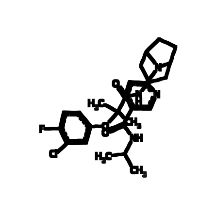 CC(C)NC(=O)c1ccc(N2C3CCC2CC(NC(=O)C(C)(C)Oc2ccc(F)c(Cl)c2)C3)nc1